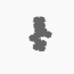 c1ccc(-c2ccc(N(c3ccc4c(c3)C3(c5ccccc5-c5ccccc53)c3ccccc3-4)c3ccccc3-c3ccccc3-c3ccc4c5ccccc5n(-c5ccc6c(c5)-c5ccccc5C6(c5ccccc5)c5ccccc5)c4c3)cc2)cc1